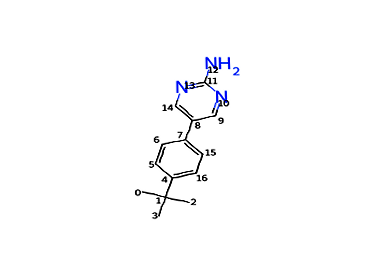 CC(C)(C)c1ccc(-c2cnc(N)nc2)cc1